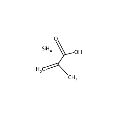 C=C(C)C(=O)O.[SiH4]